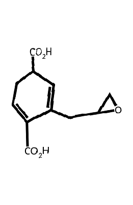 O=C(O)C1=CCC(C(=O)O)C=C1CC1CO1